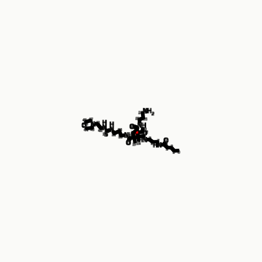 CCCCC(=O)NCCCNC(=O)C(C)(C(C)(CC)C(=O)NCCCN)C(C)(CC)C(=O)NCCCNC(=S)NCCN1CCOCC1